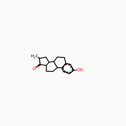 CC1CC2C(CCC3c4ccc(O)cc4CCC32)C1=O